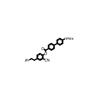 CCCCCCc1ccc(-c2ccc(C(=O)Oc3ccc(CCC(C)C)cc3C#N)cc2)cc1